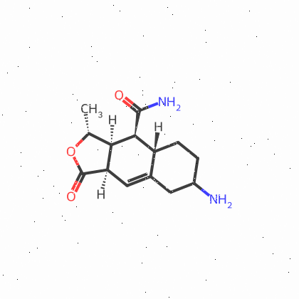 C[C@H]1OC(=O)[C@@H]2C=C3CC(N)CC[C@H]3[C@H](C(N)=O)[C@H]12